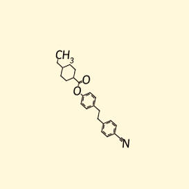 CCC1CCC(C(=O)Oc2ccc(CCc3ccc(C#N)cc3)cc2)CC1